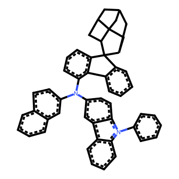 c1ccc(-n2c3ccccc3c3cc(N(c4ccc5ccccc5c4)c4cccc5c4-c4ccccc4C54C5CC6CC7CC4C7(C6)C5)ccc32)cc1